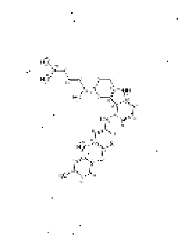 Cc1ccc(Oc2ccc(Nc3ncnc4[nH]c5c(c34)CN(C(O)/C=C/CN(C)C)CC5)cc2C)cn1